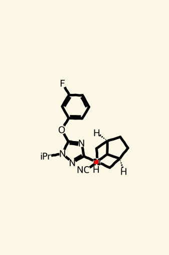 CC(C)n1nc(NC2[C@@H]3CC[C@H]2CN(C#N)C3)nc1Oc1cccc(F)c1